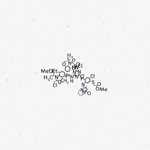 CC1COc2ccccc2N1C(=O)C(Cl)Cl.CCNc1nc(Cl)nc(NC(C)C)n1.CCc1cccc(C)c1N(C(=O)CCl)C(C)COC.COC(=O)CSc1cc(/N=c2\sc(=O)n3n2CCCC3)c(F)cc1Cl